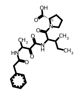 CCC(C)C(NC(=O)C(=O)C(C)NC(=O)Cc1ccccc1)C(=O)N1CCC[C@H]1C(=O)O